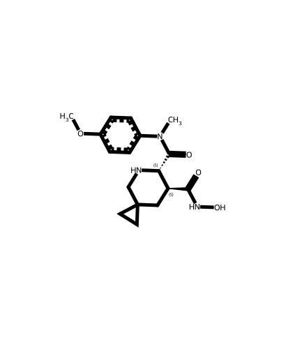 COc1ccc(N(C)C(=O)[C@H]2NCC3(CC3)C[C@@H]2C(=O)NO)cc1